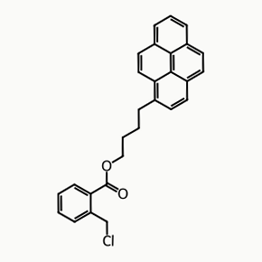 O=C(OCCCCc1ccc2ccc3cccc4ccc1c2c34)c1ccccc1CCl